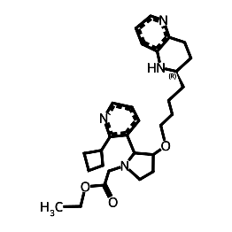 CCOC(=O)CN1CCC(OCCCC[C@@H]2CCc3ncccc3N2)C1c1cccnc1C1CCC1